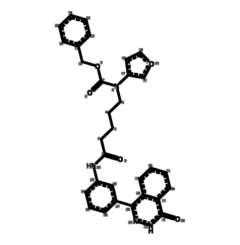 O=C(CCCCN(C(=O)OCc1ccccc1)c1ccoc1)Nc1cccc(-c2n[nH]c(=O)c3ccccc23)c1